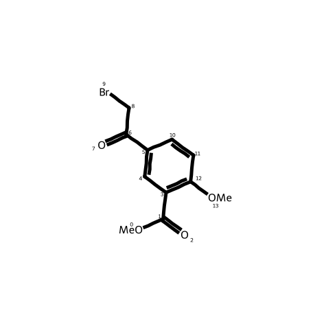 COC(=O)c1cc(C(=O)CBr)ccc1OC